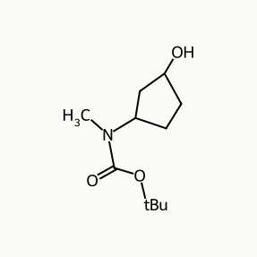 CN(C(=O)OC(C)(C)C)C1CCC(O)C1